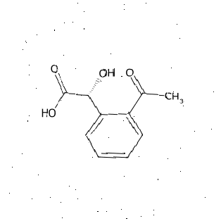 CC(=O)c1ccccc1[C@@H](O)C(=O)O